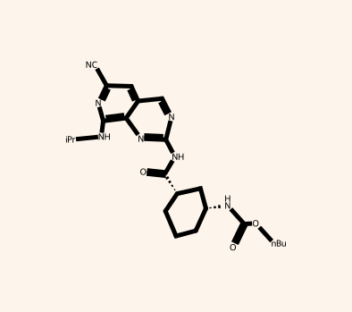 CCCCOC(=O)N[C@@H]1CCC[C@H](C(=O)Nc2ncc3cc(C#N)nc(NC(C)C)c3n2)C1